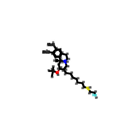 COc1cc2c(cc1OC)[C@H]1C[C@@H](O[Si](C)(C)C)[C@H](CCCCCCCSCC[18F])CN1CC2